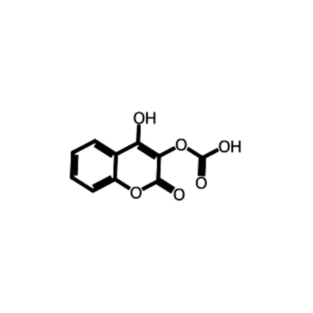 O=C(O)Oc1c(O)c2ccccc2oc1=O